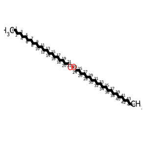 CCCCCCCCCCCCCCCCCCCCCCOOCCCCCCCCCCCCCCCCCCCCCC